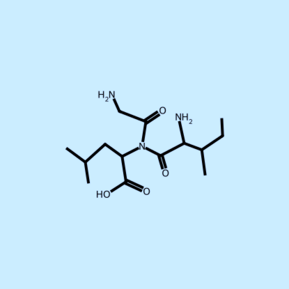 CCC(C)C(N)C(=O)N(C(=O)CN)C(CC(C)C)C(=O)O